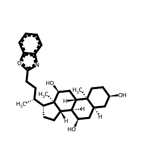 C[C@H](CCc1nc2ccccc2o1)[C@H]1CC[C@H]2[C@@H]3[C@H](O)C[C@@H]4C[C@H](O)CC[C@]4(C)[C@H]3C[C@H](O)[C@]12C